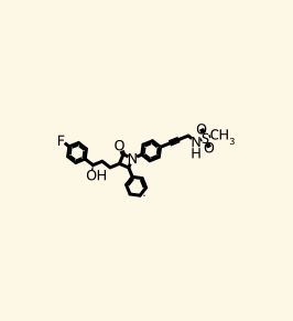 CS(=O)(=O)NCC#Cc1ccc(N2C(=O)C(CC[C@H](O)c3ccc(F)cc3)C2C2=CC[CH]C=C2)cc1